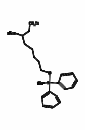 CCCCCCCCCC(CCCCCO[Si](c1ccccc1)(c1ccccc1)C(C)(C)C)CC(=O)OCC